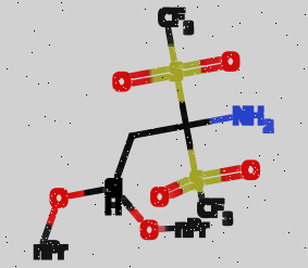 CCCO[SiH](CC(N)(S(=O)(=O)C(F)(F)F)S(=O)(=O)C(F)(F)F)OCCC